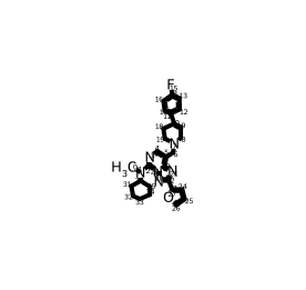 CN(c1ncc(CN2CC=C(c3ccc(F)cc3)CC2)c2nc(-c3ccco3)nn12)C1CCCCC1